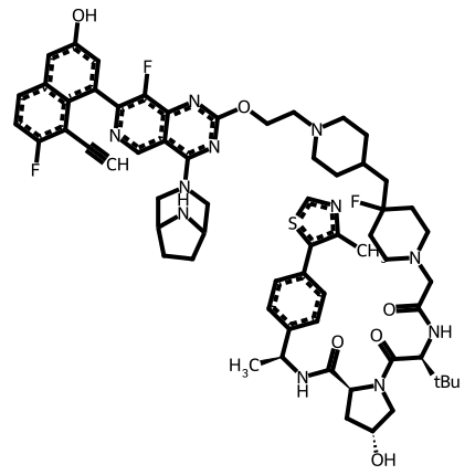 C#Cc1c(F)ccc2cc(O)cc(-c3ncc4c(N5CC6CCC(C5)N6)nc(OCCN5CCC(CC6(F)CCN(CC(=O)N[C@H](C(=O)N7C[C@H](O)C[C@H]7C(=O)N[C@@H](C)c7ccc(-c8scnc8C)cc7)C(C)(C)C)CC6)CC5)nc4c3F)c12